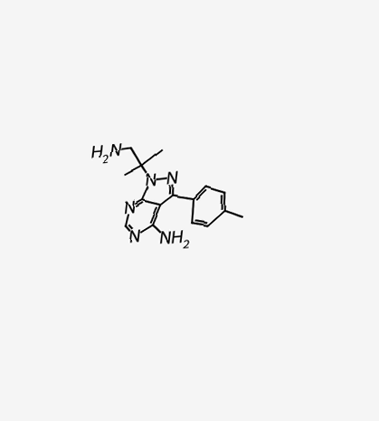 Cc1ccc(-c2nn(C(C)(C)CN)c3ncnc(N)c23)cc1